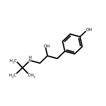 CC(C)(C)NCC(O)Cc1ccc(O)cc1